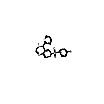 O=S(=O)(c1ccc(Br)cc1)C1C=C2C(=CC1)N=CCNC2c1ccccn1